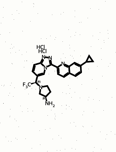 Cl.Cl.N[C@@H]1CCN([C@H](c2ccc3nnc(-c4ccc5ccc(C6CC6)cc5n4)n3c2)C(F)(F)F)C1